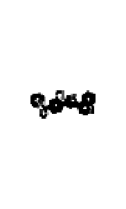 O=C(c1ccc(-c2csc(-c3ccnc4ccccc34)c2)c(Cl)c1)N1CCCCC1